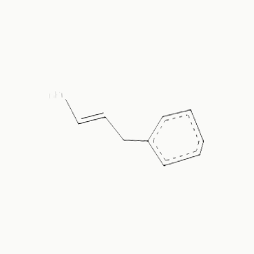 CCCC=CCc1c[c]ccc1